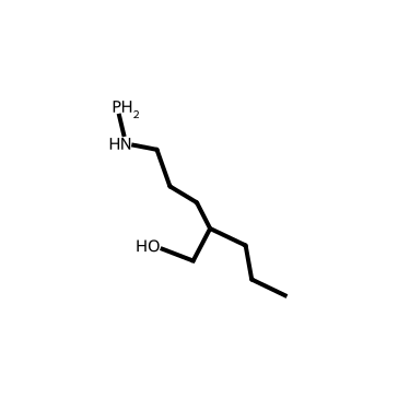 CCCC(CO)CCCNP